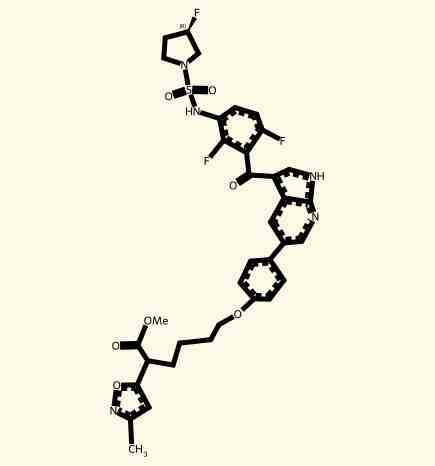 COC(=O)C(CCCCOc1ccc(-c2cnc3[nH]cc(C(=O)c4c(F)ccc(NS(=O)(=O)N5CC[C@@H](F)C5)c4F)c3c2)cc1)c1cc(C)no1